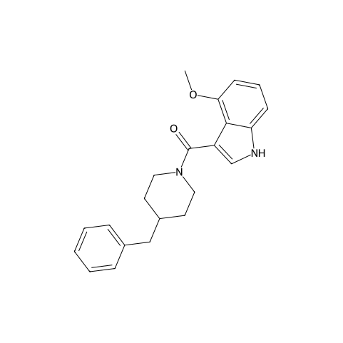 COc1cccc2[nH]cc(C(=O)N3CCC(Cc4ccccc4)CC3)c12